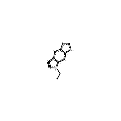 CCn1c#cc2cc3ccoc3cc21